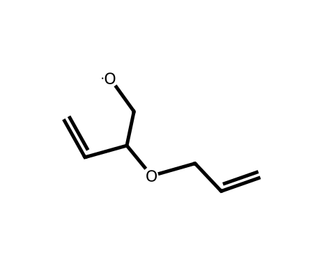 C=CCOC(C=C)C[O]